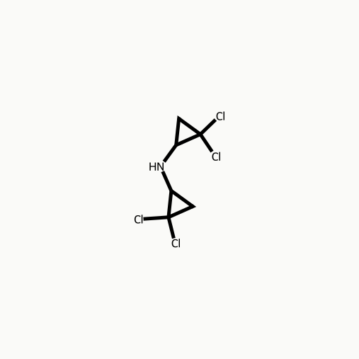 ClC1(Cl)CC1NC1CC1(Cl)Cl